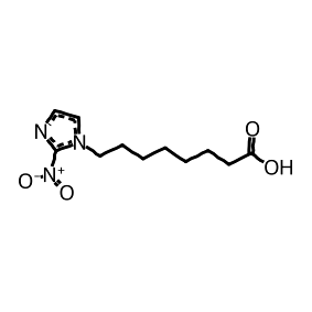 O=C(O)CCCCCCCn1ccnc1[N+](=O)[O-]